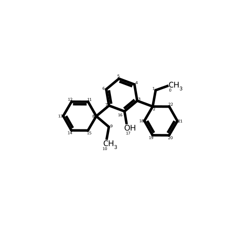 CCC1(c2cccc(C3(CC)C=CC=CC3)c2O)C=CC=CC1